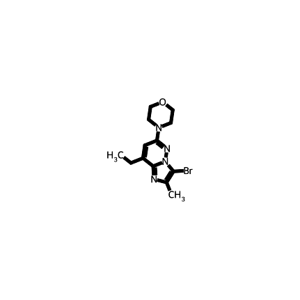 CCc1cc(N2CCOCC2)nn2c(Br)c(C)nc12